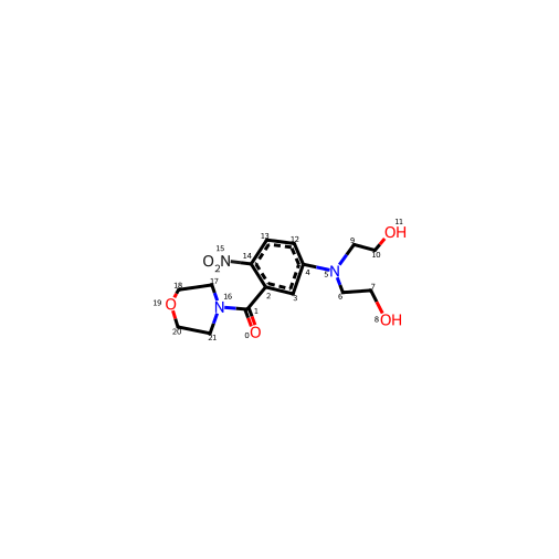 O=C(c1cc(N(CCO)CCO)ccc1[N+](=O)[O-])N1CCOCC1